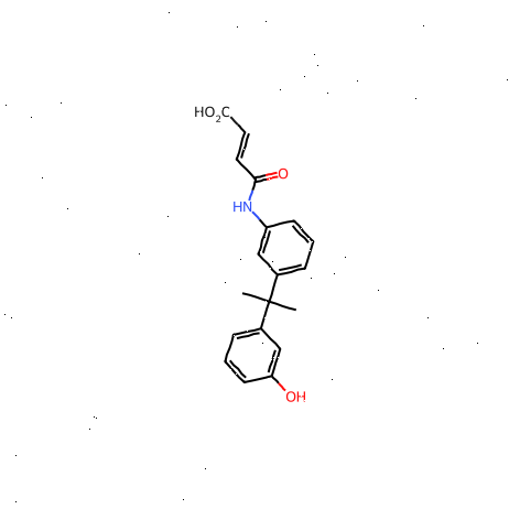 CC(C)(c1cccc(O)c1)c1cccc(NC(=O)C=CC(=O)O)c1